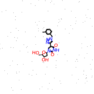 Cc1cccc(Cn2cc(-c3cn([C@H]4C[C@H](O)[C@@H](CO)O4)c(=O)[nH]c3=O)nn2)c1